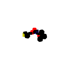 CN(CCOC(c1ccccc1)(c1ccccc1)c1ccccc1)C(=O)COCCc1cccc2sccc12